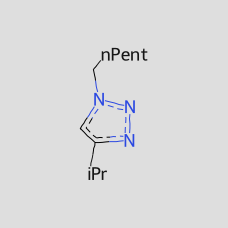 CCCCCCn1cc(C(C)C)nn1